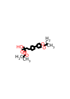 C=C(C)C(=O)OCC(CO)(CO)CCc1ccc(-c2ccc(OC(=O)C(=C)C)cc2)cc1